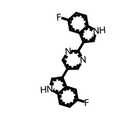 Fc1ccc2[nH]cc(-c3cnc(-c4c[nH]c5ccc(F)cc45)nc3)c2c1